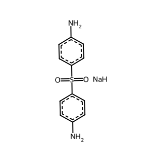 Nc1ccc(S(=O)(=O)c2ccc(N)cc2)cc1.[NaH]